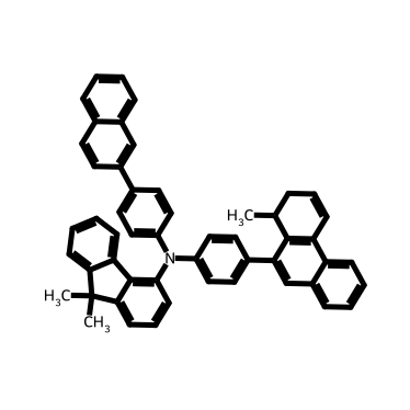 CC1CC=Cc2c1c(-c1ccc(N(c3ccc(-c4ccc5ccccc5c4)cc3)c3cccc4c3-c3ccccc3C4(C)C)cc1)cc1ccccc21